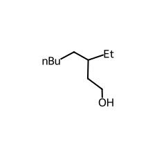 CCCCCC(CC)CCO